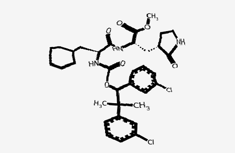 COC(=O)[C@H](C[C@@H]1CCNC1=O)NC(=O)[C@H](CC1CCCCC1)NC(=O)OC(c1cccc(Cl)c1)C(C)(C)c1cccc(Cl)c1